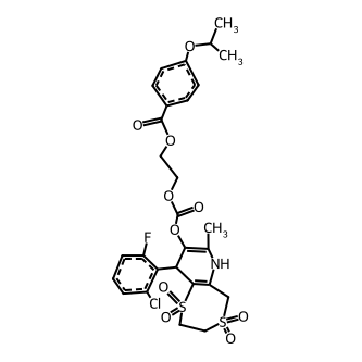 CC1=C(OC(=O)OCCOC(=O)c2ccc(OC(C)C)cc2)C(c2c(F)cccc2Cl)C2=C(CS(=O)(=O)CCS2(=O)=O)N1